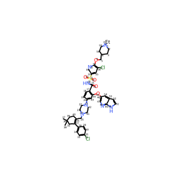 CCN1CCC(COc2ncc(S(=O)(=O)NC(=O)c3ccc(N4CCN(CC5=C(c6ccc(Cl)cc6)CC(C)(C)CC5)CC4)cc3Oc3cnc4[nH]ccc4c3)cc2Cl)CC1